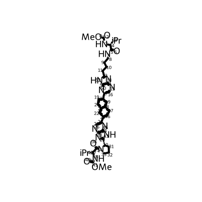 COC(=O)N[C@H](C(=O)NCCCCc1nc2ncc(-c3ccc4cc(-c5cnc6nc([C@H]7CCCN7C(=O)[C@@H](NC(=O)OC)C(C)C)[nH]c6n5)ccc4c3)nc2[nH]1)C(C)C